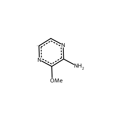 COc1n[c]cnc1N